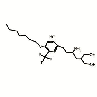 CCCCCCCOc1ccc(CCC(N)CC(CO)CO)cc1C(F)(F)F.Cl